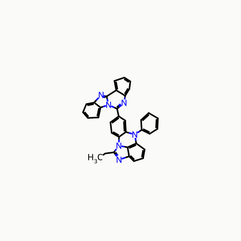 CCc1nc2cccc3c2n1-c1ccc(-c2nc4ccccc4c4nc5ccccc5n24)cc1N3c1ccccc1